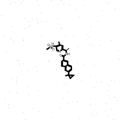 Cc1cc([C@@H](C)NC(=O)c2ccc3cc(C4(C)CC4)ccc3c2)ncc1NS(C)(=O)=O